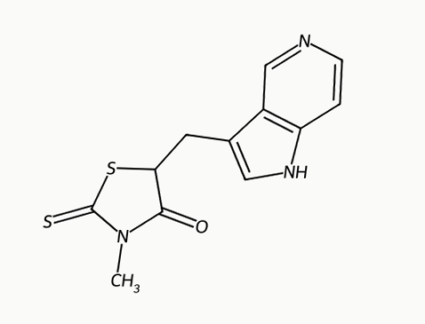 CN1C(=O)C(Cc2c[nH]c3ccncc23)SC1=S